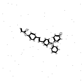 C=CC(=O)Oc1ccc(C=Cc2ccc(N(c3ccccc3)c3ccc(Cl)cc3)cc2)cc1